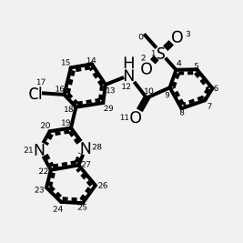 CS(=O)(=O)c1ccccc1C(=O)Nc1ccc(Cl)c(-c2cnc3ccccc3n2)c1